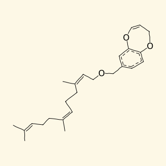 CC(C)=CCCC(C)=CCCC(C)=CCOCc1ccc2c(c1)OC=CCO2